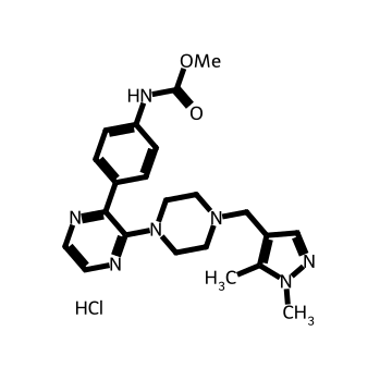 COC(=O)Nc1ccc(-c2nccnc2N2CCN(Cc3cnn(C)c3C)CC2)cc1.Cl